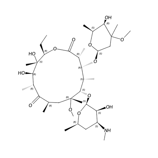 CC[C@H]1OC(=O)[C@H](C)[C@H](O[C@@H]2CC(C)(OC)[C@H](O)[C@H](C)O2)[C@H](C)[C@H](O[C@@H]2O[C@H](C)C[C@H](NC)[C@@H]2O)[C@](C)(OC)C[C@@H](C)C(=O)[C@H](C)[C@@H](O)[C@]1(C)O